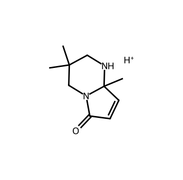 CC1(C)CNC2(C)C=CC(=O)N2C1.[H+]